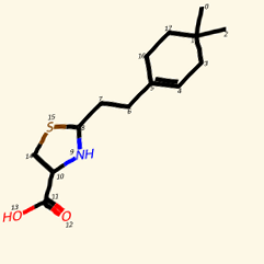 CC1(C)CC=C(CCC2NC(C(=O)O)CS2)CC1